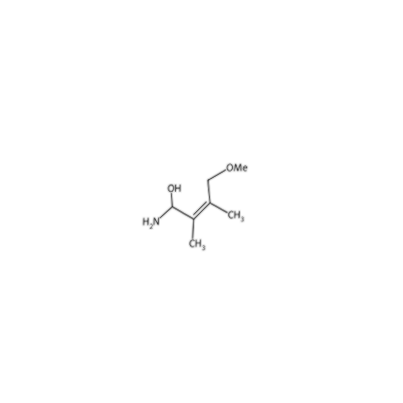 COC/C(C)=C(/C)C(N)O